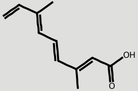 C=CC(C)=CC=CC(C)=CC(=O)O